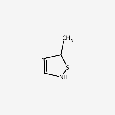 CC1[C]=CNS1